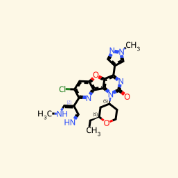 CC[C@H]1C[C@@H](n2c(=O)nc(-c3cnn(C)c3)c3oc4cc(Cl)c(/C(C=N)=C/NC)nc4c32)CCO1